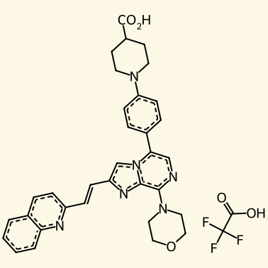 O=C(O)C(F)(F)F.O=C(O)C1CCN(c2ccc(-c3cnc(N4CCOCC4)c4nc(/C=C/c5ccc6ccccc6n5)cn34)cc2)CC1